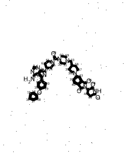 Nc1ncnc2c1c(-c1ccc(Oc3ccccc3)cc1)nn2C1CCN(C(=O)N2CCN(CC3CCN(c4ccc5c(c4)C(=O)N(C4CCC(=O)NC4=O)C5=O)CC3)CC2)CC1